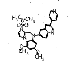 COc1cc(OC)cc(N(Cc2nccn2S(=O)(=O)N(C)C)c2ccc3ncc(-c4ccncc4)cc3c2)c1